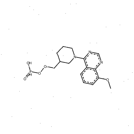 COc1cccc2c(N3CCCC(COO[PH](=O)O)C3)ncnc12